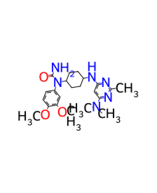 COc1ccc(N(C(N)=O)C2CCC(Nc3cc(N(C)C)nc(C)n3)CC2)cc1OC